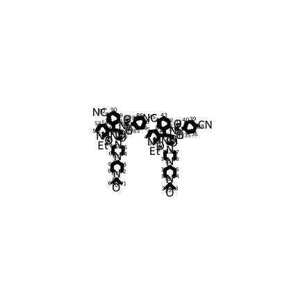 CCOc1ncccc1C1(NC(=O)N2CCN(C3CCN(C4COC4)CC3)CC2)C(=O)N(S(=O)(=O)c2ccc(C#N)cc2)c2ccc(C#N)cc21.CCOc1ncccc1[C@]1(NC(=O)N2CCN(C3CCN(C4COC4)CC3)CC2)C(=O)N(S(=O)(=O)c2ccccc2)c2ccc(C#N)cc21